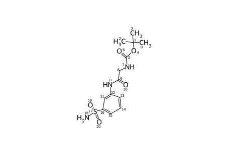 CC(C)(C)OC(=O)NCC(=O)Nc1cccc(S(N)(=O)=O)c1